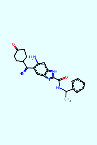 CC(NC(=O)c1nc2cc(C(=N)C3CCC(=O)CC3)c(N)cc2[nH]1)c1ccccc1